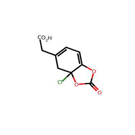 O=C(O)CC1=CC=C2OC(=O)OC2(Cl)C1